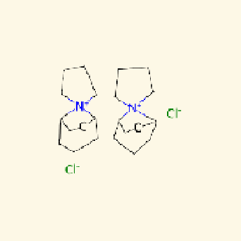 C1CC2CCC(C1)[N+]21CCCC1.C1CC2CCC(C1)[N+]21CCCC1.[Cl-].[Cl-]